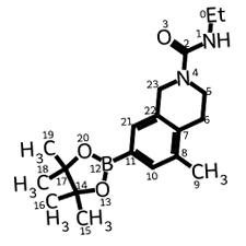 CCNC(=O)N1CCc2c(C)cc(B3OC(C)(C)C(C)(C)O3)cc2C1